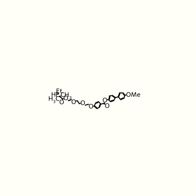 CCPC(C)(C)C(=O)OCCOCCOCCOc1ccc(C(=O)Oc2ccc(-c3ccc(OC)cc3)cc2)cc1